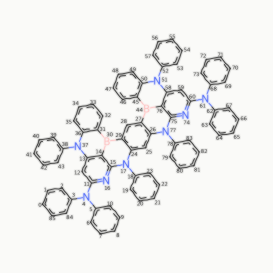 c1ccc(N(c2ccccc2)c2cc3c4c(n2)N(c2ccccc2)c2cc5c(cc2B4c2ccccc2N3c2ccccc2)B2c3ccccc3N(c3ccccc3)c3cc(N(c4ccccc4)c4ccccc4)nc(c32)N5c2ccccc2)cc1